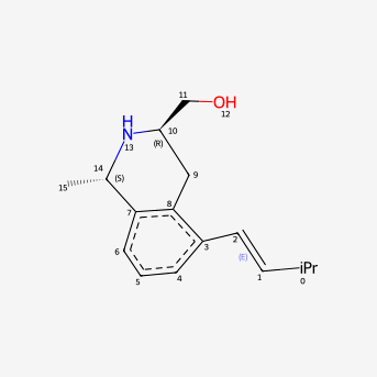 CC(C)/C=C/c1cccc2c1C[C@H](CO)N[C@H]2C